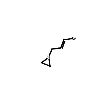 SC=CCN1CC1